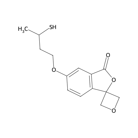 CC(S)CCOc1ccc2c(c1)C(=O)OC21COC1